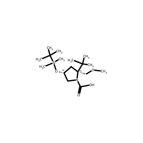 COC[C@@]1(C(C)(C)C)C[C@@H](O[Si](C)(C)C(C)(C)C)CN1C(=O)O